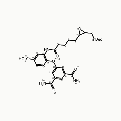 CCCCCCCCCCCC1OC1CCCCC(=O)Nc1cc(C(=O)O)ccc1Oc1cc(C(N)=O)cc(C(N)=O)c1